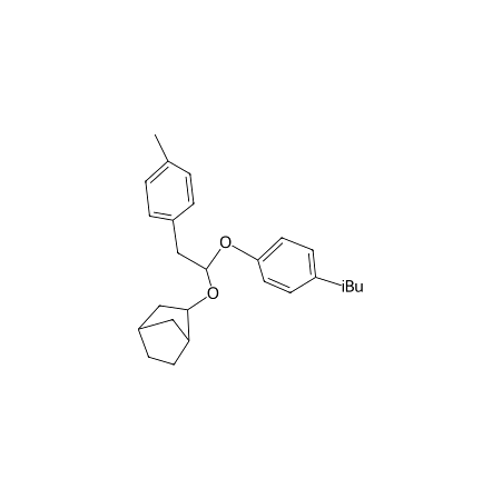 CCC(C)c1ccc(OC(Cc2ccc(C)cc2)OC2CC3CCC2C3)cc1